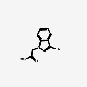 CC(C)(C)C(=O)Cn1cc(C#N)c2ccccc21